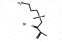 C=C(C)C(=O)C[N+](C)(C)CCCN.[Br-]